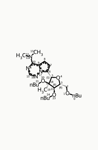 CCCCOC[C@H]1O[C@@H](c2ccc3c(N(C)C)ncnn23)[C@](C)(OCCCC)[C@@H]1OCCCC